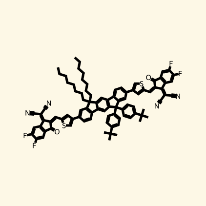 CCCCCCCCC1(CCCCCCCC)c2cc(-c3csc(/C=C4\C(=O)c5cc(F)c(F)cc5C4=C(C#N)C#N)c3)ccc2-c2cc3c(cc21)-c1ccc(-c2csc(/C=C4\C(=O)c5cc(F)c(F)cc5C4=C(C#N)C#N)c2)cc1C3(c1ccc(C(C)(C)C)cc1)c1ccc(C(C)(C)C)cc1